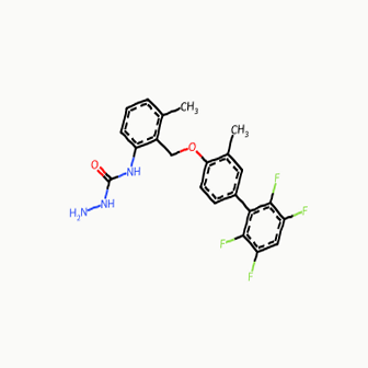 Cc1cc(-c2c(F)c(F)cc(F)c2F)ccc1OCc1c(C)cccc1NC(=O)NN